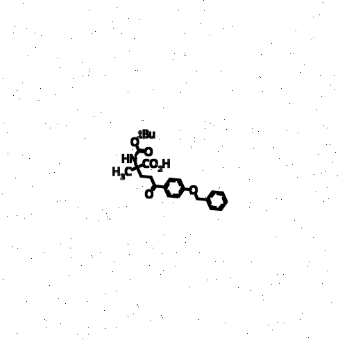 CC(C)(C)OC(=O)N[C@@](C)(CCC(=O)c1ccc(OCc2ccccc2)cc1)C(=O)O